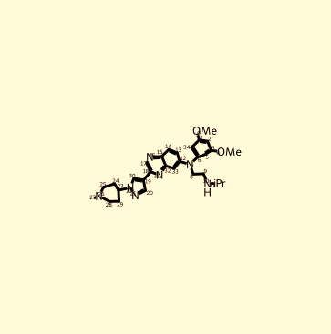 COc1cc(OC)cc(N(CCNC(C)C)c2ccc3ncc(-c4cnn(C5CCN(C)CC5)c4)nc3c2)c1